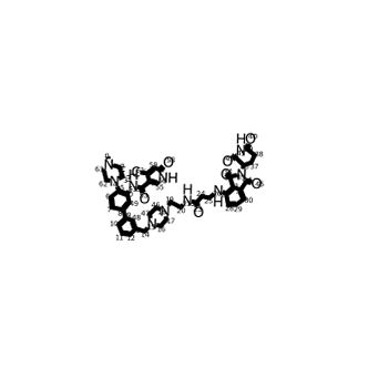 CN1CCN(c2ccc(-c3cccc(CN4CCN(CCNC(=O)CCNc5cccc6c5C(=O)N(C5CCC(=O)NC5=O)C6=O)CC4)c3)cc2NC(=O)c2c[nH]c(=O)cc2C(F)(F)F)CC1